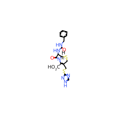 O=C(NCc1ccccc1)NC1C(=O)N2C(C(=O)O)=C(CSc3nc[nH]n3)CS[C@H]12